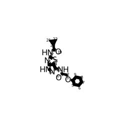 O=C(COc1ccccc1)Nc1n[nH]c2nc(NC(=O)C3CC3)sc12